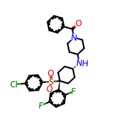 O=C(c1ccccc1)N1CCC(N[C@H]2CC[C@@](c3cc(F)ccc3F)(S(=O)(=O)c3ccc(Cl)cc3)CC2)CC1